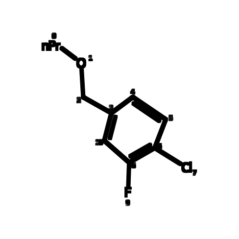 [CH2]CCOCc1ccc(Cl)c(F)c1